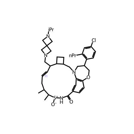 CCCc1cc(Cl)ccc1C1COc2ccc3cc2N(C1)CC1CCC1C(CN1CC2(C1)CN(C(C)C)C2)/C=C/CC(C)C(C)[S+]([O-])NC3=O